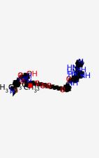 Cc1ncsc1-c1ccc(CNC(=O)[C@@H]2C[C@H](O)CN2C(=O)C(NC(=O)CCOCCOCCOCCCCCCOc2cccc(CNC(=O)c3cccc(NC4(C(=N)NC(=N)c5ccncc5)CCNCC4)c3)c2)C(C)(C)C)cc1